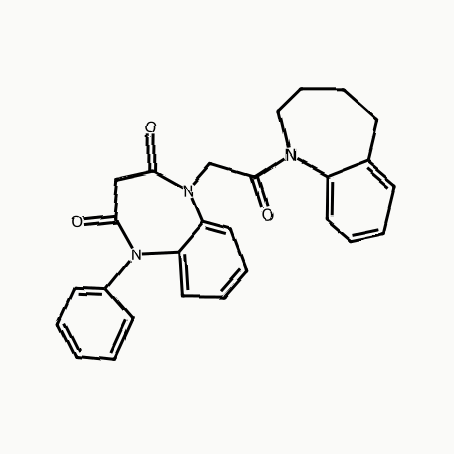 O=C(CN1C(=O)CC(=O)N(c2ccccc2)c2ccccc21)N1CCCCc2ccccc21